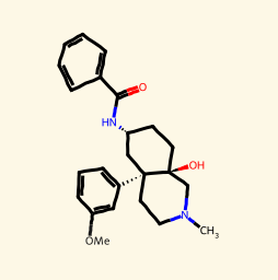 COc1cccc([C@@]23CCN(C)C[C@@]2(O)CC[C@@H](NC(=O)c2ccccc2)C3)c1